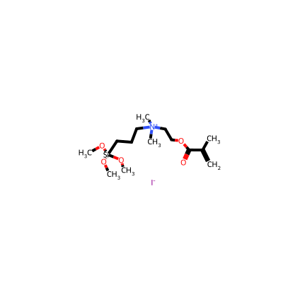 C=C(C)C(=O)OCC[N+](C)(C)CCC[Si](OC)(OC)OC.[I-]